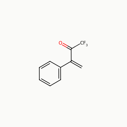 C=C(C(=O)C(F)(F)F)c1ccccc1